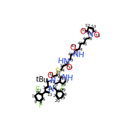 CC(C)(C)[C@H](c1cc(-c2cc(F)ccc2F)cn1Cc1ccccc1)N(CC1CNC[C@@H]1F)C(=O)CSCCC(=O)NCCNC(=O)CCCCCN1C(=O)C=CC1=O